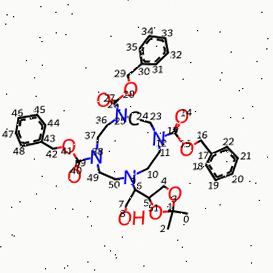 CC1(C)OCC(C(CO)N2CCN(C(=O)OCc3ccccc3)CCN(C(=O)OCc3ccccc3)CCN(C(=O)OCc3ccccc3)CC2)O1